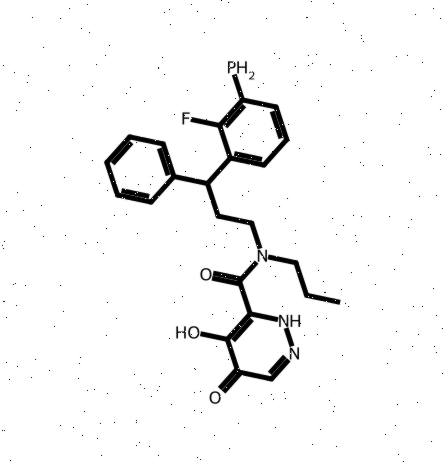 CCCN(CCC(c1ccccc1)c1cccc(P)c1F)C(=O)c1[nH]ncc(=O)c1O